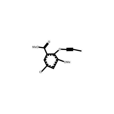 CC#COc1c(OC)cc(Cl)cc1C(=O)OC